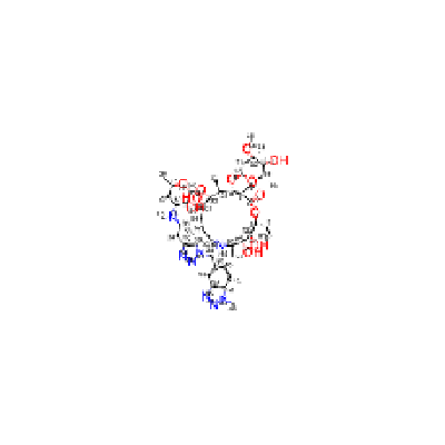 CC[C@H]1OC(=O)[C@H](C)[C@@H](O[C@H]2C[C@@](C)(OC)[C@@H](O)[C@H](C)O2)[C@H](C)[C@@H](O[C@@H]2O[C@H](C)C[C@H](N(C)CCc3cn(Cc4ccc5c(c4)nnn5C)nn3)[C@H]2O)[C@](C)(O)C[C@@H](C)CN(C)[C@H](C)[C@@H](O)[C@]1(C)O